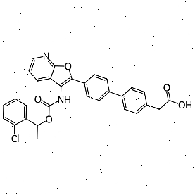 CC(OC(=O)Nc1c(-c2ccc(-c3ccc(CC(=O)O)cc3)cc2)oc2ncccc12)c1ccccc1Cl